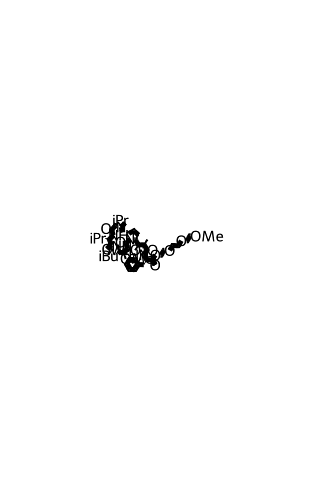 CC[C@H](C)[C@H](NC(=O)[C@@H](NC(=O)[C@H](C(C)C)N(C)C)C(C)C)[C@@H](CC(=O)N1CCC[C@H]1[C@H](OC)[C@@H](C)C(=O)N[C@@H](Cc1ccccc1)C(=O)OCCOCCOCCOC)OC